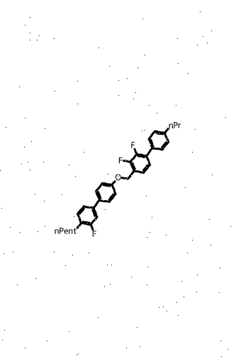 CCCCCc1ccc(-c2ccc(OCc3ccc(-c4ccc(CCC)cc4)c(F)c3F)cc2)cc1F